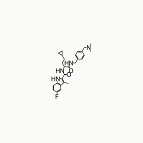 Cc1c(C(=O)NC(CCC2CC2)C(=O)NCc2ccc(CN(C)C)cc2)[nH]c2ccc(F)cc12